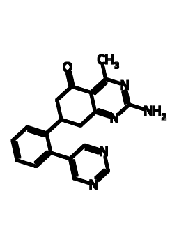 Cc1nc(N)nc2c1C(=O)CC(c1ccccc1-c1cncnc1)C2